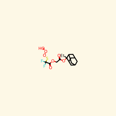 CCC1(OC(=O)COC(=O)C(F)(F)SOOO)C2CC3CC(C2)CC1C3